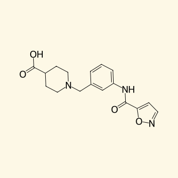 O=C(Nc1cccc(CN2CCC(C(=O)O)CC2)c1)c1ccno1